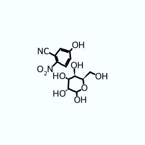 N#Cc1cc(O)ccc1[N+](=O)[O-].OC[C@H]1OC(O)[C@H](O)[C@@H](O)[C@H]1O